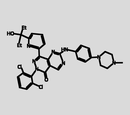 CCC(O)(CC)c1cccc(-c2nn(-c3c(Cl)cccc3Cl)c(=O)c3cnc(Nc4ccc(N5CCN(C)CC5)cc4)nc23)n1